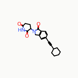 O=C1CCC(N2Cc3cc(C#CC4CCCCC4)ccc3C2=O)C(=O)N1